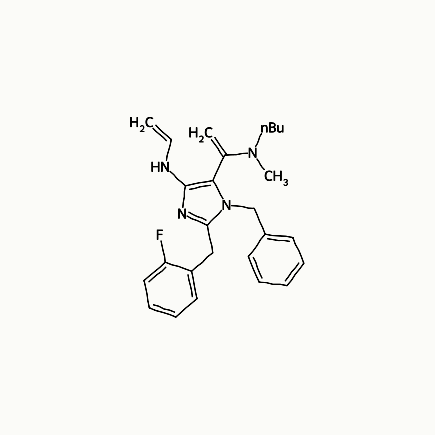 C=CNc1nc(Cc2ccccc2F)n(Cc2ccccc2)c1C(=C)N(C)CCCC